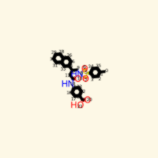 Cc1ccc(S(=O)(=O)NCC(CC(=O)Nc2ccc(C(=O)O)cc2)c2ccc3ccccc3c2)cc1